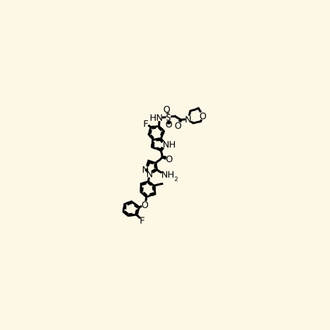 Cc1cc(Oc2ccccc2F)ccc1-n1ncc(C(=O)c2cc3cc(F)c(NS(=O)(=O)CC(=O)N4CCOCC4)cc3[nH]2)c1N